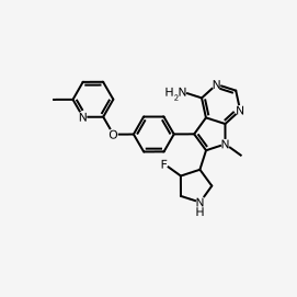 Cc1cccc(Oc2ccc(-c3c(C4CNCC4F)n(C)c4ncnc(N)c34)cc2)n1